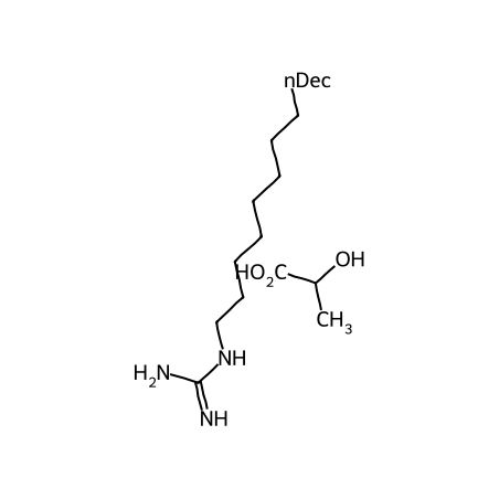 CC(O)C(=O)O.CCCCCCCCCCCCCCCCCCNC(=N)N